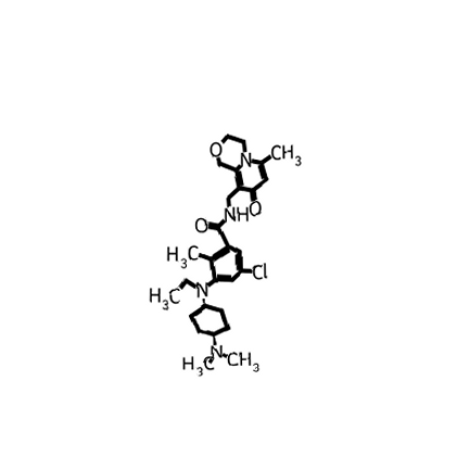 CCN(c1cc(Cl)cc(C(=O)NCc2c3n(c(C)cc2=O)CCOC3)c1C)[C@H]1CC[C@H](N(C)C)CC1